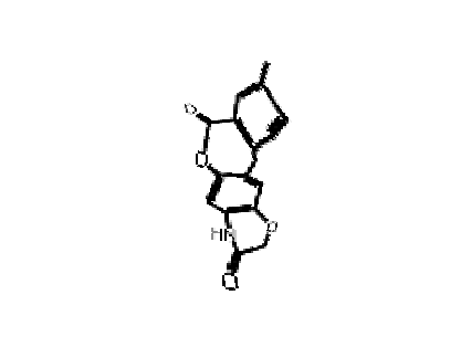 Cc1ccc2c(c1)c(=O)oc1cc3c(cc12)OCC(=O)N3